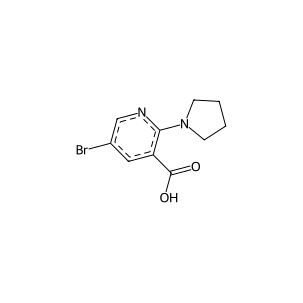 O=C(O)c1cc(Br)cnc1N1CCCC1